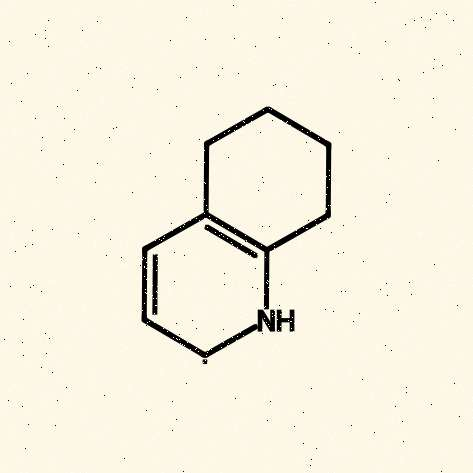 [CH]1C=CC2=C(CCCC2)N1